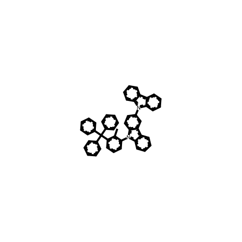 Cc1c(-n2c3ccccc3c3cc(-n4c5ccccc5c5ccccc54)ccc32)cccc1C(c1ccccc1)(c1ccccc1)c1ccccc1